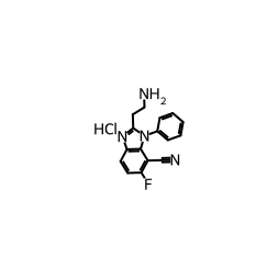 Cl.N#Cc1c(F)ccc2nc(CCN)n(-c3ccccc3)c12